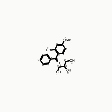 COc1ccc(C(=O)c2ccccc2)c(O)c1.OCC(O)CO